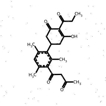 CCC(=O)C1=C(O)CC(c2c(C)cc(C)c(C(=O)CC(C)=O)c2C)CC1=O